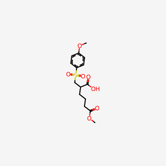 COC(=O)CCCC(CS(=O)(=O)c1ccc(OC)cc1)C(=O)O